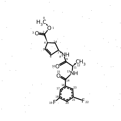 COC(=O)[C@@H]1C=C[C@H](NC(=O)[C@@H](C)NC(=O)c2cc(F)cc(F)c2)C1